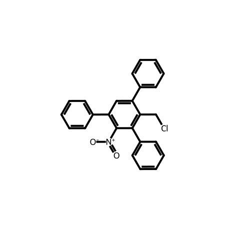 O=[N+]([O-])c1c(-c2ccccc2)cc(-c2ccccc2)c(CCl)c1-c1ccccc1